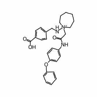 O=C(C[N+]1(NCc2ccc(C(=O)O)cc2)CCCCCC1)Nc1ccc(Oc2ccccc2)cc1